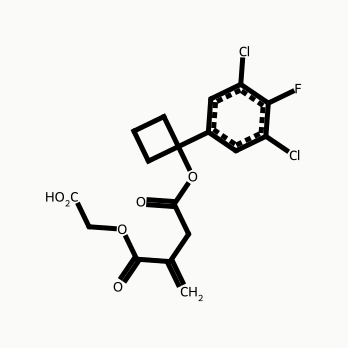 C=C(CC(=O)OC1(c2cc(Cl)c(F)c(Cl)c2)CCC1)C(=O)OCC(=O)O